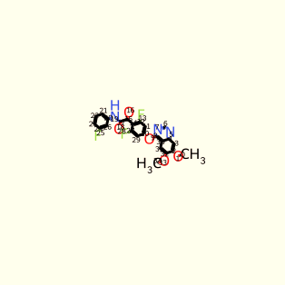 COc1cc2ncnc(Oc3cc(F)c(C(=O)C(=O)Nc4cccc(F)c4)c(F)c3)c2cc1OC